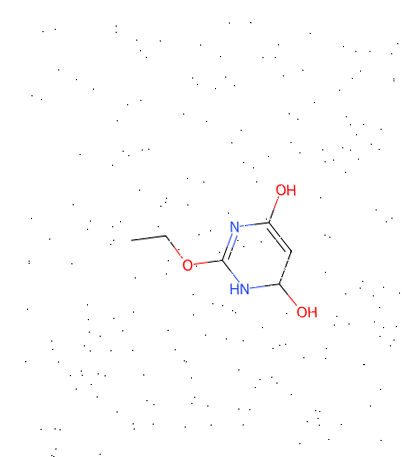 CCOC1=NC(O)=CC(O)N1